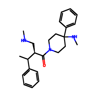 CNC[C@@H](C(=O)N1CCC(NC)(c2ccccc2)CC1)C(C)c1ccccc1